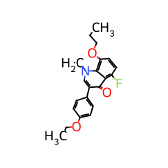 [CH2]n1cc(-c2ccc(OCC)cc2)c(=O)c2c(F)ccc(OCCC)c21